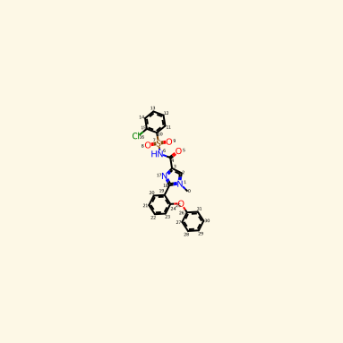 Cn1cc(C(=O)NS(=O)(=O)c2ccccc2Cl)nc1-c1ccccc1Oc1ccccc1